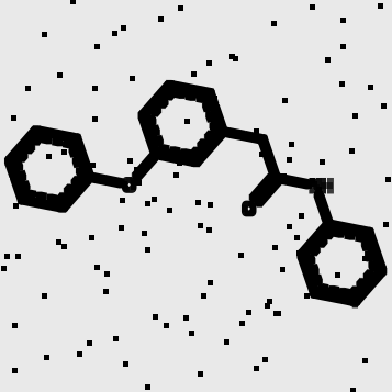 O=C(Cc1cccc(Oc2ccccc2)c1)Nc1cc[c]cc1